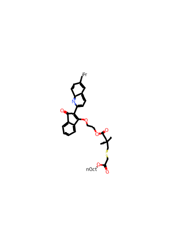 CCCCCCCCOC(=O)CSCC(C)(C)C(=O)OCCOC1=C(c2ccc3cc(C(C)C)ccc3n2)C(=O)c2ccccc21